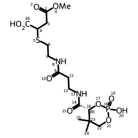 COC(=O)CC(SCCNC(=O)CCNC(=O)[C@@H]1OP(=O)(O)OCC1(C)C)C(=O)O